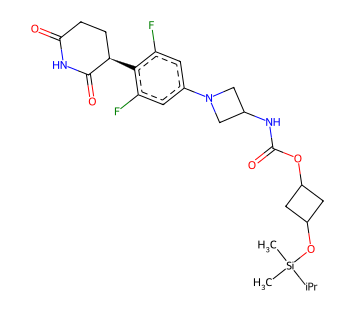 CC(C)[Si](C)(C)OC1CC(OC(=O)NC2CN(c3cc(F)c([C@@H]4CCC(=O)NC4=O)c(F)c3)C2)C1